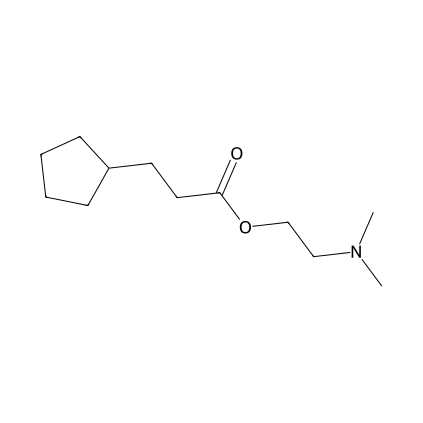 CN(C)CCOC(=O)CCC1CCCC1